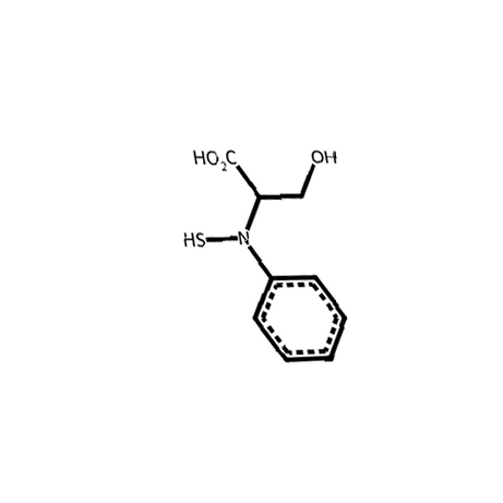 O=C(O)C(CO)N(S)c1ccccc1